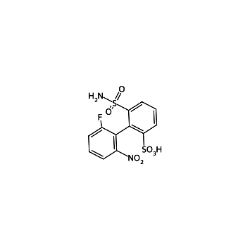 NS(=O)(=O)c1cccc(S(=O)(=O)O)c1-c1c(F)cccc1[N+](=O)[O-]